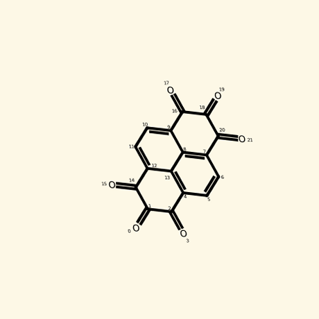 O=C1C(=O)c2ccc3c4c(ccc(c24)C1=O)C(=O)C(=O)C3=O